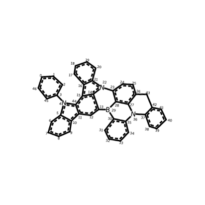 c1ccc(-n2c3ccccc3c3cc4c5c(c6ccccc6n5-c5ccc6c7c5B4c4ccccc4N7c4ccccc4C6)c32)cc1